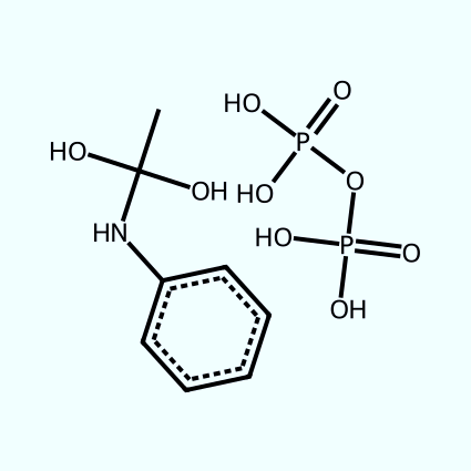 CC(O)(O)Nc1ccccc1.O=P(O)(O)OP(=O)(O)O